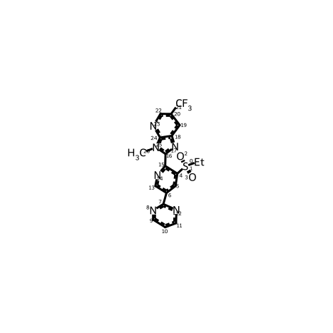 CCS(=O)(=O)c1cc(-c2ncccn2)cnc1-c1nc2cc(C(F)(F)F)cnc2n1C